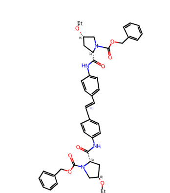 CCO[C@H]1C[C@@H](C(=O)Nc2ccc(/C=C/c3ccc(NC(=O)[C@@H]4C[C@H](OCC)CN4C(=O)OCc4ccccc4)cc3)cc2)N(C(=O)OCc2ccccc2)C1